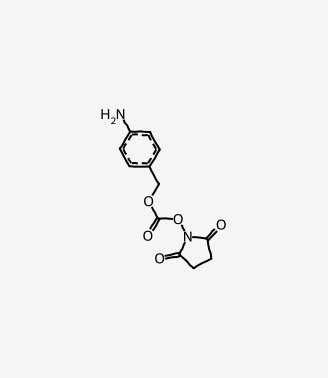 Nc1ccc(COC(=O)ON2C(=O)CCC2=O)cc1